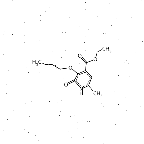 CCCCOc1c(C(=O)OCC)cc(C)[nH]c1=O